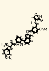 COC1=CC(OC2CCc3c(-c4cccc(NC(=O)c5nc6c(n5C)CCN(C)C6)c4Cl)cccc32)=C(Cl)CC1CNC1CONC1=O